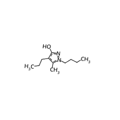 CCCCn1nc(O)c(CCC)c1C